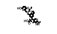 CC[C@@H]1CN(Cc2cc([C@@H](c3cnc4c(nnn4C)c3C)C(C)(C)C(=O)O)cc3ccsc23)Cc2nc(O)ccc2O1